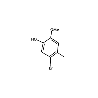 COc1cc(F)c(Br)cc1O